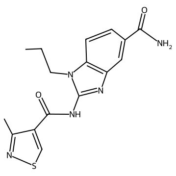 CCCn1c(NC(=O)c2csnc2C)nc2cc(C(N)=O)ccc21